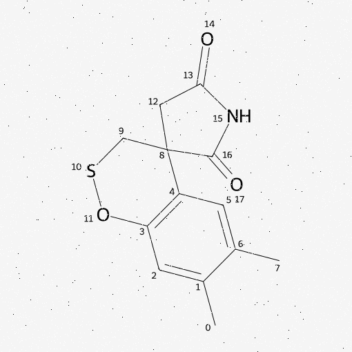 Cc1cc2c(cc1C)C1(CSO2)CC(=O)NC1=O